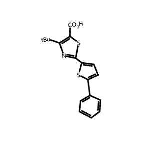 CC(C)(C)c1nc(-c2ccc(-c3ccccc3)s2)sc1C(=O)O